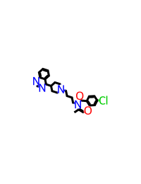 CC1=COc2cc(Cl)ccc2C(=O)N1CCCCN1CCC(c2ncnc3ccccc23)CC1